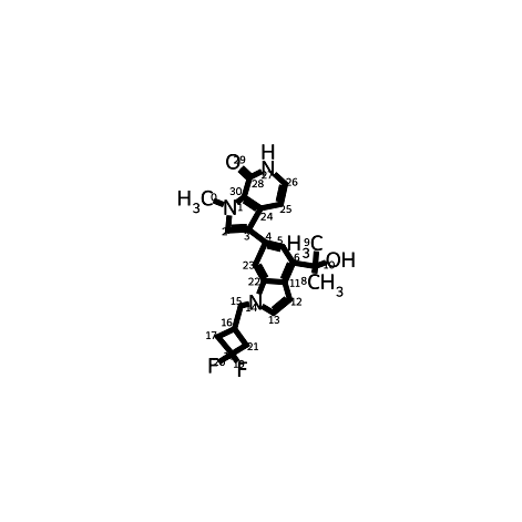 Cn1cc(-c2cc(C(C)(C)O)c3ccn(CC4CC(F)(F)C4)c3c2)c2cc[nH]c(=O)c21